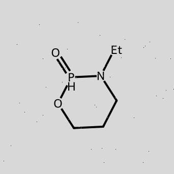 CCN1CCCO[PH]1=O